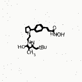 Cc1c(CC(C)(C)C)nn(CCN2CCCC2c2ccc(C=CC(=O)NO)cc2)c1O